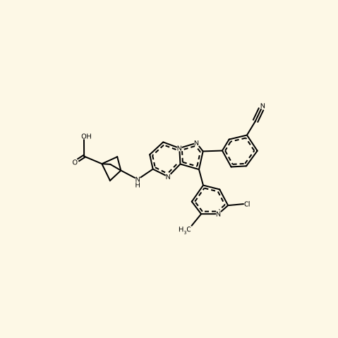 Cc1cc(-c2c(-c3cccc(C#N)c3)nn3ccc(NC45CC(C(=O)O)(C4)C5)nc23)cc(Cl)n1